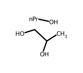 CC(O)CO.CCCO